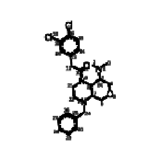 CN(C)[C@H]1COCC2C1N(C(=O)Cc1ccc(Cl)c(Cl)c1)CCN2Cc1ccccc1